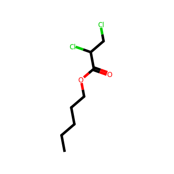 CCCCCOC(=O)C(Cl)CCl